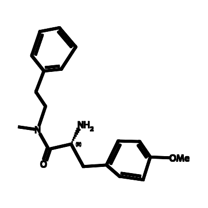 COc1ccc(C[C@@H](N)C(=O)N(C)CCc2ccccc2)cc1